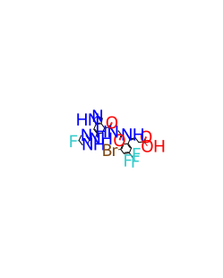 O=C(O)CC=C(NC(=O)CNC(=O)C1CC(NC2=NCC(F)CN2)=Cc2[nH]ncc21)c1cc(Br)cc(C(F)(F)F)c1